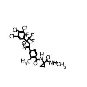 CCNC(=O)C1(NC(=O)c2ccc(C3=NOC(c4cc(Cl)c(Cl)c(Cl)c4)(C(F)(F)F)C3)cc2C)CC1